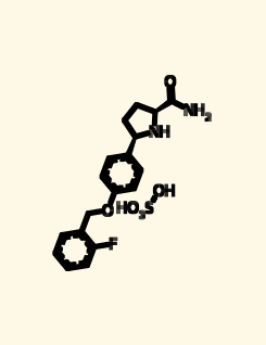 NC(=O)[C@@H]1CC[C@H](c2ccc(OCc3ccccc3F)cc2)N1.O=S(=O)(O)O